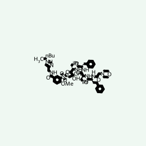 CCCCC(C)n1cc(CNC(=O)c2ccc(OC)c(S(=O)(=O)OCC(C)(O)C(=O)[C@H](CC(C)C)NC(=O)[C@H](Cc3ccccc3)NC(=O)[C@H](CC(C)C)NC(=O)[C@H](CCc3ccccc3)NC(=O)CN3CCOCC3)c2)nn1